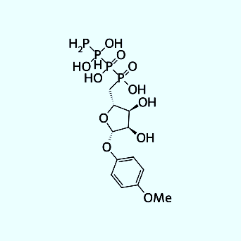 COc1ccc(O[C@@H]2O[C@H](CP(=O)(O)P(=O)(O)[PH](O)(O)P)[C@@H](O)[C@H]2O)cc1